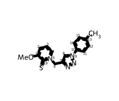 COc1cccn(Cc2cn(-c3ccc(C)cc3)nn2)c1=S